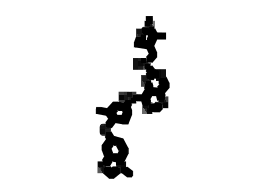 Cc1cc(Nc2ncnc3cnc(NCc4cnn(C)c4C)nc23)ccc1Oc1ccc2c(c1)ncn2C